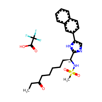 CCC(=O)CCCCC[C@H](NS(C)(=O)=O)c1ncc(-c2ccc3ccccc3c2)[nH]1.O=C(O)C(F)(F)F